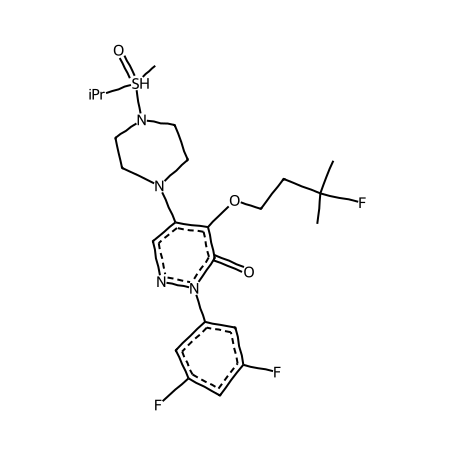 CC(C)[SH](C)(=O)N1CCN(c2cnn(-c3cc(F)cc(F)c3)c(=O)c2OCCC(C)(C)F)CC1